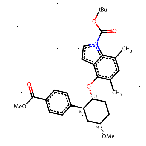 COC(=O)c1ccc([C@@H]2C[C@@H](OC)CC[C@H]2Oc2c(C)cc(C)c3c2ccn3C(=O)OC(C)(C)C)cc1